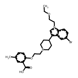 CCOCCn1cc(C2CCN(CCOc3ccc(C)cc3C(=O)O)CC2)c2cc(Br)ccc21